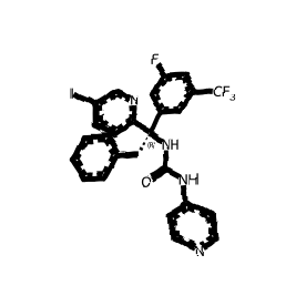 O=C(Nc1ccncc1)N[C@](Cc1ccccc1)(c1cc(F)cc(C(F)(F)F)c1)c1ccc(I)cn1